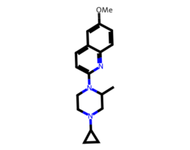 COc1ccc2nc(N3CCN(C4CC4)CC3C)ccc2c1